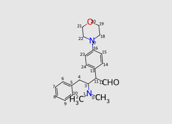 CN(C)C(Cc1ccccc1)C(C=O)c1ccc(N2CCOCC2)cc1